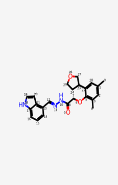 Cc1cc(C)c(OCC(=O)NN=Cc2cccc3[nH]ccc23)c(C2CCOC2)c1